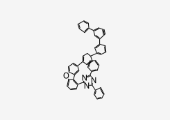 c1cc(-c2ccccc2)cc(-c2cccc(C3C=CC(c4ccc5oc6cccc(-c7nc(-c8ccccc8)nc(-c8ccccc8)n7)c6c5c4)=CC3)c2)c#1